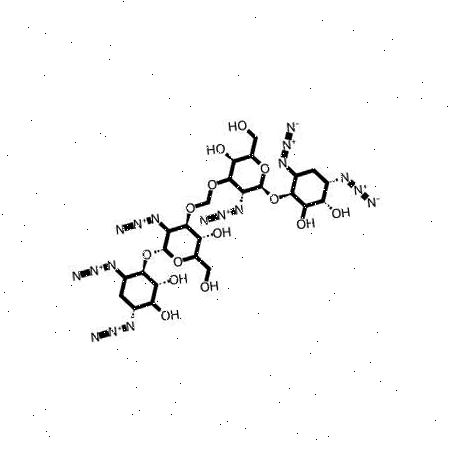 [N-]=[N+]=NC1C[C@H](N=[N+]=[N-])[C@H](O)C(O)[C@H]1O[C@@H]1OC(CO)[C@H](O)C(OCO[C@@H]2C(N=[N+]=[N-])[C@@H](O[C@@H]3C(N=[N+]=[N-])C[C@@H](N=[N+]=[N-])C(O)[C@H]3O)OC(CO)[C@H]2O)[C@H]1N=[N+]=[N-]